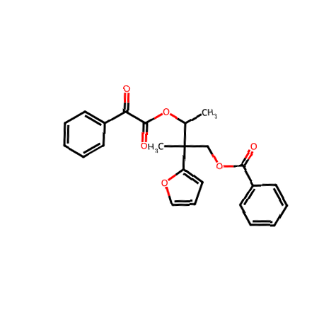 CC(OC(=O)C(=O)c1ccccc1)C(C)(COC(=O)c1ccccc1)c1ccco1